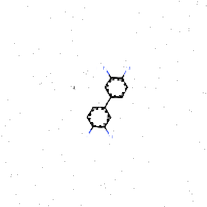 Nc1ccc(-c2ccc(N)c(N)c2)cc1N.[Cl-].[Cl-].[Ni+2]